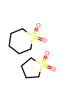 O=S1(=O)CCCC1.O=S1(=O)CCCCC1